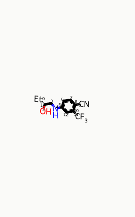 CC[C@@H](O)CNc1ccc(C#N)c(C(F)(F)F)c1